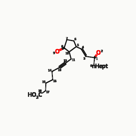 CCCCCCCC(=O)C=CC1CCC(=O)C1CC#CCCCCC(=O)O